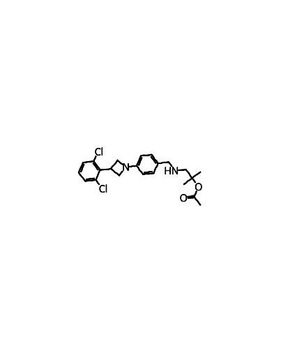 CC(=O)OC(C)(C)CNCc1ccc(N2CC(c3c(Cl)cccc3Cl)C2)cc1